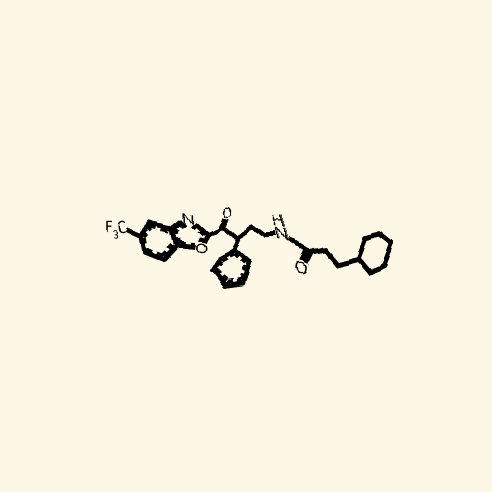 O=C(CCC1CCCCC1)NCCC(C(=O)c1nc2cc(C(F)(F)F)ccc2o1)c1ccccc1